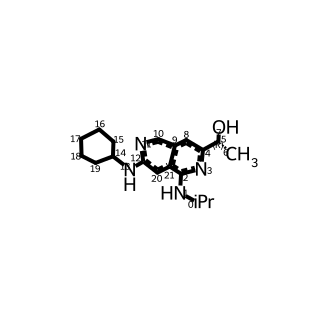 CC(C)Nc1nc([C@@H](C)O)cc2cnc(NC3CCCCC3)cc12